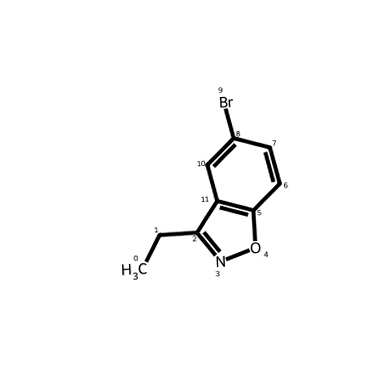 CCc1noc2ccc(Br)cc12